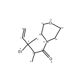 C=CC(C)(CC)C(C)C(=O)N1CCOCC1